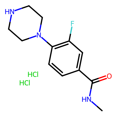 CNC(=O)c1ccc(N2CCNCC2)c(F)c1.Cl.Cl